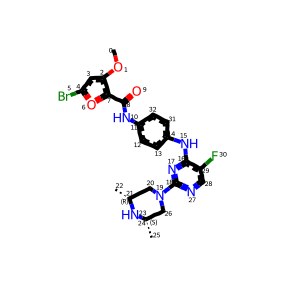 COc1cc(Br)oc1C(=O)Nc1ccc(Nc2nc(N3C[C@@H](C)N[C@@H](C)C3)ncc2F)cc1